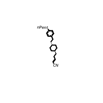 CCCCCc1ccc(CC[C@H]2CC[C@H](CC/C=C/C#N)CC2)cc1